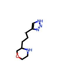 [CH](CCC1COCCN1)c1c[nH]nn1